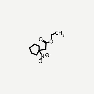 CCOC(=O)CC1([N+](=O)[O-])CCCCC1